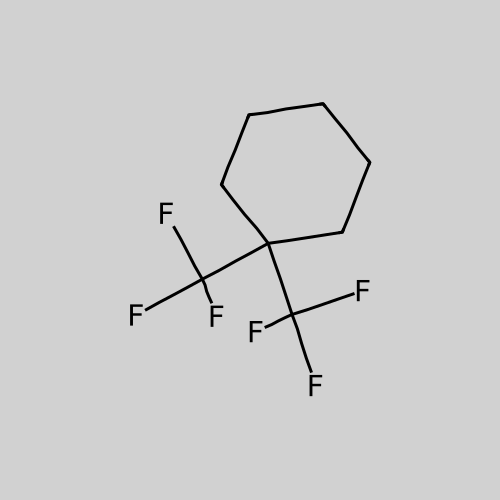 FC(F)(F)C1(C(F)(F)F)CCCCC1